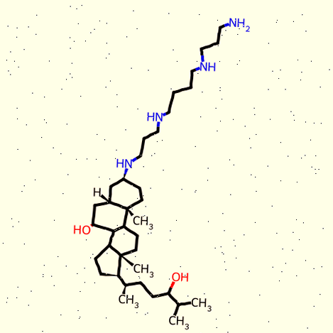 CC(C)C(O)CC[C@@H](C)[C@H]1CCC2C3C(CC[C@@]21C)[C@@]1(C)CC[C@H](NCCCNCCCCNCCCN)C[C@H]1C[C@@H]3O